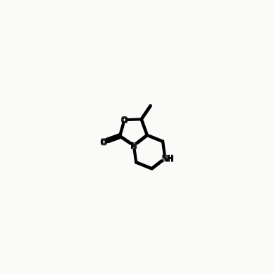 CC1OC(=O)N2CCNCC12